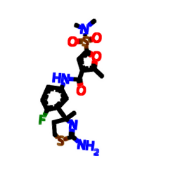 Cc1oc(S(=O)(=O)N(C)C)cc1C(=O)Nc1ccc(F)c(C2(C)CCSC(N)=N2)c1